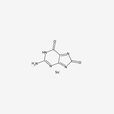 Nc1nc2c(c(=O)[nH]1)=NC(=O)N=2.[Sn]